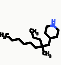 CCCCCCC(C)(CCC)CC1CCNCC1